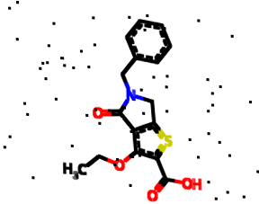 CCOc1c(C(=O)O)sc2c1C(=O)N(Cc1ccccc1)C2